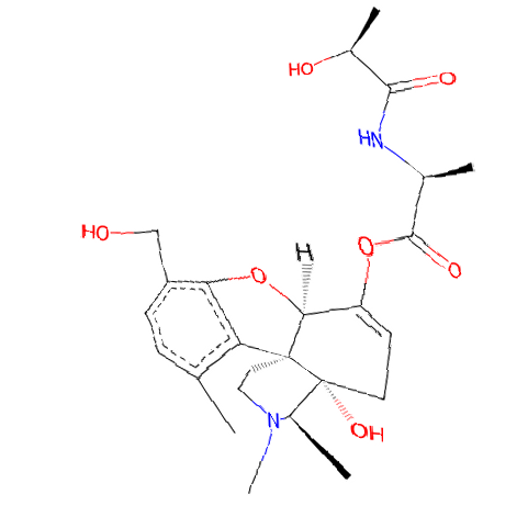 Cc1ccc(CO)c2c1[C@]13CCN(C)[C@H](C)[C@]1(O)CC=C(OC(=O)[C@H](C)NC(=O)[C@H](C)O)[C@@H]3O2